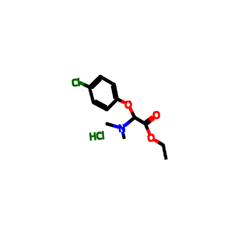 CCOC(=O)C(Oc1ccc(Cl)cc1)N(C)C.Cl